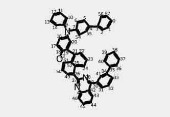 c1ccc(-c2ccc(N(c3ccccc3)c3ccc4c(c3)-c3cccc5c(-c6nc(-c7cccc(-c8ccccc8)c7)c7ccccc7n6)ccc(c35)O4)cc2)cc1